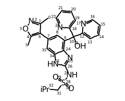 Cc1noc(C)c1-c1cc(C(O)(c2ccccn2)c2ccccn2)c2nc(NS(=O)(=O)CC(C)C)[nH]c2c1